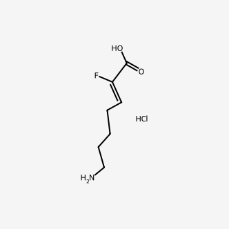 Cl.NCCCCC=C(F)C(=O)O